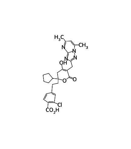 Cc1cc(C)n2nc(CC3=C(O)CC(CCc4ccc(C(=O)O)c(Cl)c4)(C4CCCC4)OC3=O)nc2n1